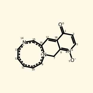 O=C1C=C[N+]([O-])=C2Cn3cccccncc3C=C12